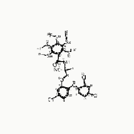 C[C@@](C#N)(COc1cc(Cl)ccc1Oc1ccc(Cl)cc1Cl)NC(=O)c1c(SF)c(SF)c(SF)c(SF)c1SF